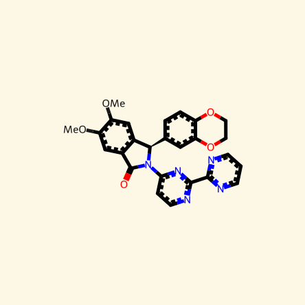 COc1cc2c(cc1OC)[C@@H](c1ccc3c(c1)OCCO3)N(c1ccnc(-c3ncccn3)n1)C2=O